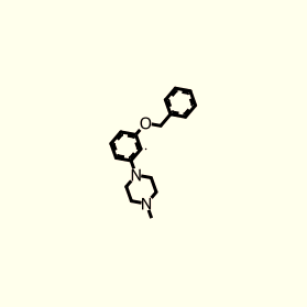 CN1CCN(c2[c]c(OCc3ccccc3)ccc2)CC1